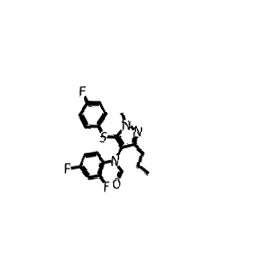 CCCc1nn(C)c(Sc2ccc(F)cc2)c1N(C=O)c1ccc(F)cc1F